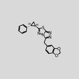 c1ccc([C@@H]2C[C@H]2c2nn3c(Cc4ccc5c(c4)OCO5)nnc3s2)cc1